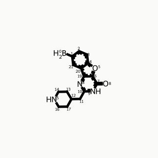 Bc1ccc2oc3c(=O)[nH]c(CC4CCNCC4)nc3c2c1